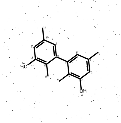 Cc1cc(O)c(C)c(-c2cc(C)cc(O)c2C)c1